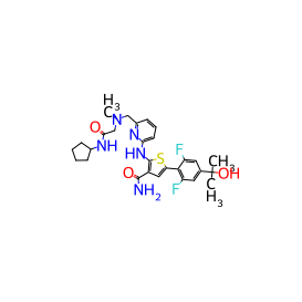 CN(CC(=O)NC1CCCC1)Cc1cccc(Nc2sc(-c3c(F)cc(C(C)(C)O)cc3F)cc2C(N)=O)n1